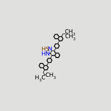 CC(C)Cc1ccc(-c2ccc(C3=c4ccccc4=C(c4ccc(-c5ccc(CC(C)C)c6ccccc56)cc4)/C(=N/S)C3=N)cc2)c2ccccc12